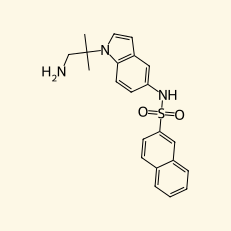 CC(C)(CN)n1ccc2cc(NS(=O)(=O)c3ccc4ccccc4c3)ccc21